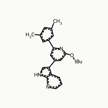 Cc1cc(C)cc(-c2cc(-c3c[nH]c4ncccc34)cc(OC(C)(C)C)n2)c1